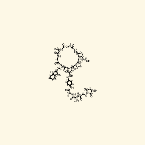 CC[C@H](C)[C@@H]1NC(=O)CNC(=O)CNC(=O)[C@H]([C@@H](C)[C@@H](O)CO)CC2CCCN2C(=O)[C@H](CC(=O)NCc2ccc(NC(=O)[C@H](C)NC(=O)[C@@H](NC(=O)CCN3C(=O)CC(S)C3=O)C(C)C)cc2)NC(=O)[C@H](CSc2[nH]c3ccccc3c2C)NC(=O)CNC1=O